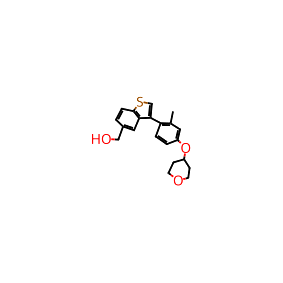 Cc1cc(OC2CCOCC2)ccc1-c1csc2ccc(CO)cc12